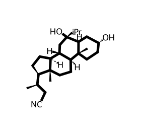 CC(C)[C@]1(O)C[C@@H]2[C@H](CC[C@]3(C)[C@@H]([C@H](C)CC#N)CC[C@@H]23)[C@@]2(C)CC[C@@H](O)C[C@H]21